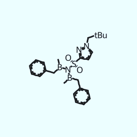 CB(Cc1ccccc1)N(B(C)Cc1ccccc1)S(=O)(=O)c1ccn(CC(C)(C)C)n1